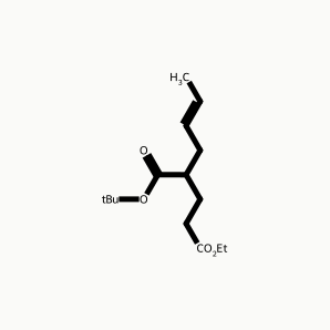 CC=CCC(CCC(=O)OCC)C(=O)OC(C)(C)C